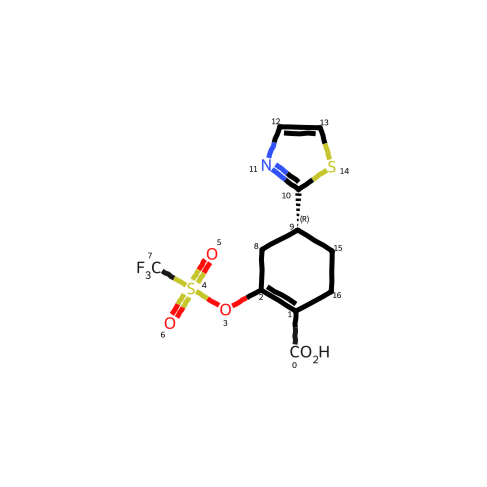 O=C(O)C1=C(OS(=O)(=O)C(F)(F)F)C[C@H](c2nccs2)CC1